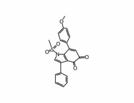 COc1ccc(C2=CC(=O)C(=O)c3c(-c4ccccc4)cn(S(C)(=O)=O)c32)cc1